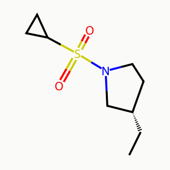 CC[C@H]1CCN(S(=O)(=O)C2CC2)C1